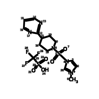 C[n+]1ccn(S(=O)(=O)N2CCC(c3ncccn3)CC2)c1.O=S(=O)(O)C(F)(F)F